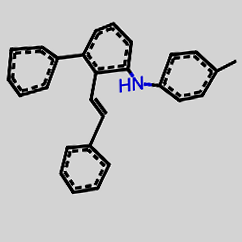 Cc1ccc(Nc2cccc(-c3ccccc3)c2C=Cc2ccccc2)cc1